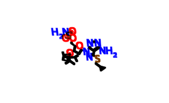 CC(C)[Si](O[C@@H]1C[C@H](n2nc(SCC3CC3)c3c(N)ncnc32)O[C@@H]1COS(N)(=O)=O)(C(C)C)C(C)C